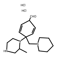 CC1CNCCN1C1(CN2CCCCC2)C=CC(C=O)C=C1.Cl.Cl